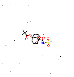 CC(C)(C)C(=O)OC12CC3CC(C(=O)NS(C)(=O)=O)(CC(C1)C(=O)O3)C2